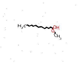 CCCCCCCCCCCCC(O)OCC